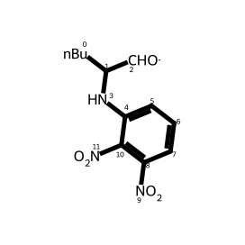 CCCCC([C]=O)Nc1cccc([N+](=O)[O-])c1[N+](=O)[O-]